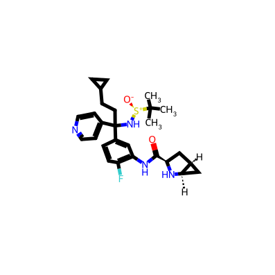 CC(C)(C)[S@+]([O-])NC(CCC1CC1)(c1ccncc1)c1ccc(F)c(NC(=O)[C@H]2C[C@H]3C[C@H]3N2)c1